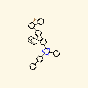 c1ccc(-c2ccc(-c3nc(-c4ccccc4)nc(-c4ccc5c(c4)C4(c6cc(-c7cccc8sc9ccccc9c78)ccc6-5)C5CC6CC(C5)CC4C6)n3)cc2)cc1